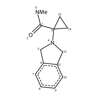 CNC(=O)C1(N2Cc3ccccc3C2)CC1